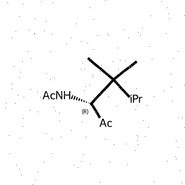 CC(=O)N[C@@H](C(C)=O)C(C)(C)C(C)C